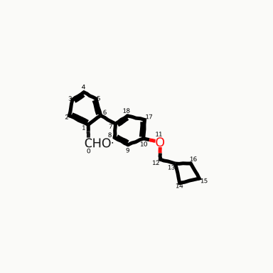 O=[C]c1ccccc1-c1ccc(OCC2CCC2)cc1